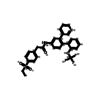 CCS(=O)(=O)c1ccc(CC(=O)Nc2ccc(-c3ccccc3OC(F)(F)F)c(-c3cccnc3)c2)cc1